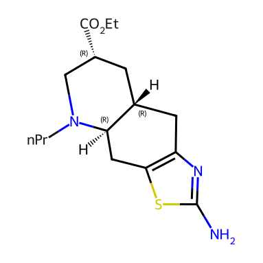 CCCN1C[C@H](C(=O)OCC)C[C@@H]2Cc3nc(N)sc3C[C@H]21